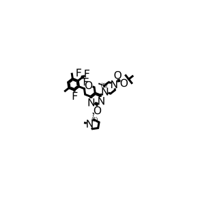 Cc1cc(C)c(C(F)(F)F)c(C2Cc3nc(OC[C@@H]4CCCN4C)nc(N4CCN(C(=O)OC(C)(C)C)C[C@@H]4C)c3CO2)c1F